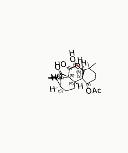 C=C1C(=O)[C@]23[C@H](O)[C@H]1CC[C@H]2[C@@]12CO[C@@]3(O)[C@@H](O)[C@@H]1C(C)(C)CC[C@@H]2OC(C)=O